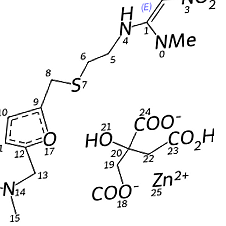 CN/C(=C\[N+](=O)[O-])NCCSCc1ccc(CN(C)C)o1.O=C([O-])CC(O)(CC(=O)O)C(=O)[O-].[Zn+2]